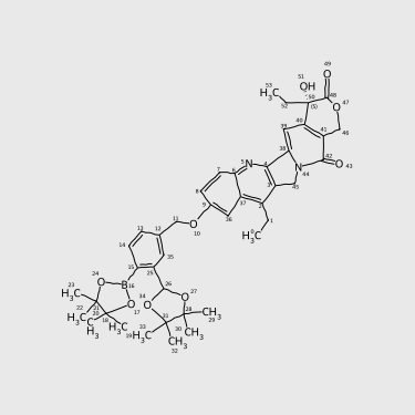 CCc1c2c(nc3ccc(OCc4ccc(B5OC(C)(C)C(C)(C)O5)c(C5OC(C)(C)C(C)(C)O5)c4)cc13)-c1cc3c(c(=O)n1C2)COC(=O)[C@]3(O)CC